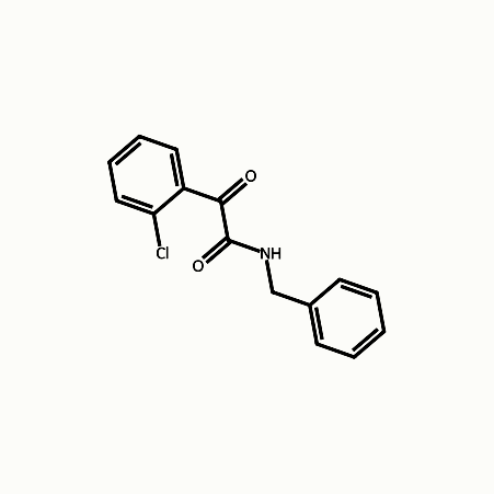 O=C(NCc1ccccc1)C(=O)c1ccccc1Cl